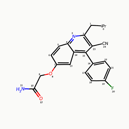 CC(C)Cc1nc2ccc(OCC(N)=O)cc2c(-c2ccc(F)cc2)c1C#N